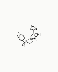 CCO[C@H](C)[C@]1(CCc2cccs2)CCN(C2(c3ccc(C)nc3)CC2)C1